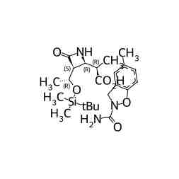 C[C@@H](O[Si](C)(C)C(C)(C)C)[C@H]1C(=O)N[C@H]1[C@@H](C)C(=O)O.Cc1ccc2c(c1)CN(C(N)=O)O2